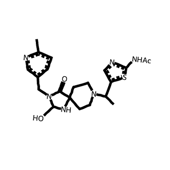 CC(=O)Nc1ncc(C(C)N2CCC3(CC2)NC(O)N(Cc2ccc(C)nc2)C3=O)s1